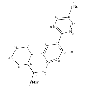 CCCCCCCCCc1cnc(-c2ccc(OC(CCCCCCCCC)C3CCCCC3)cc2C)nc1